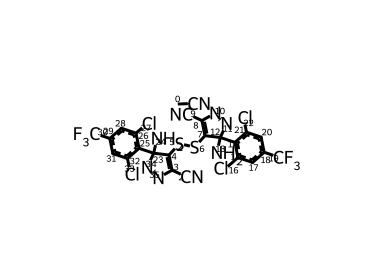 CC#N.N#CC1=C(SSC2=C(C#N)N=NC2(N)c2c(Cl)cc(C(F)(F)F)cc2Cl)C(N)(c2c(Cl)cc(C(F)(F)F)cc2Cl)N=N1